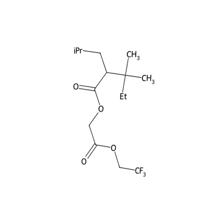 CCC(C)(C)C(CC(C)C)C(=O)OCC(=O)OCC(F)(F)F